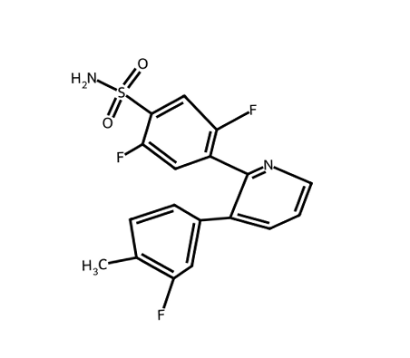 Cc1ccc(-c2cccnc2-c2cc(F)c(S(N)(=O)=O)cc2F)cc1F